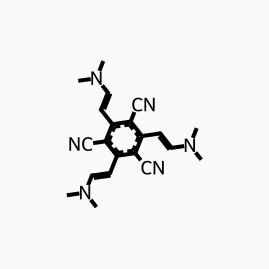 CN(C)C=Cc1c(C#N)c(C=CN(C)C)c(C#N)c(C=CN(C)C)c1C#N